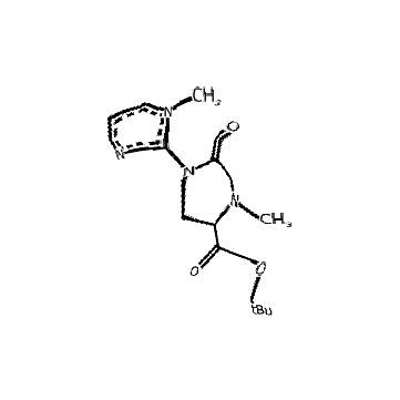 CN1C(=O)N(c2nccn2C)CC1C(=O)OC(C)(C)C